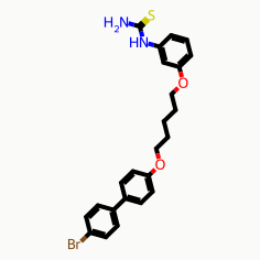 NC(=S)Nc1cccc(OCCCCCOc2ccc(-c3ccc(Br)cc3)cc2)c1